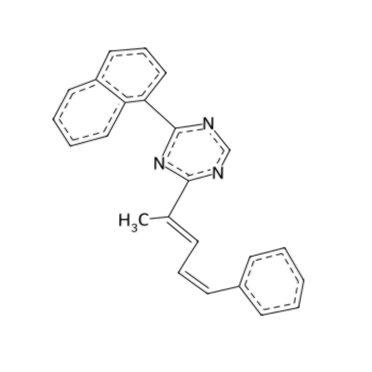 C/C(=C\C=C/c1ccccc1)c1ncnc(-c2cccc3ccccc23)n1